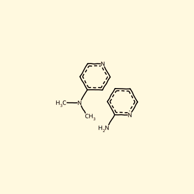 CN(C)c1ccncc1.Nc1ccccn1